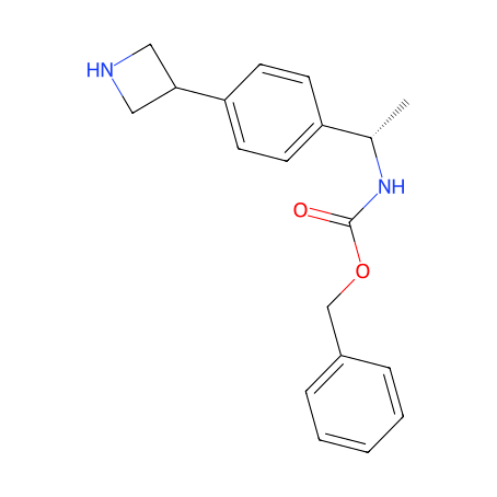 C[C@H](NC(=O)OCc1ccccc1)c1ccc(C2CNC2)cc1